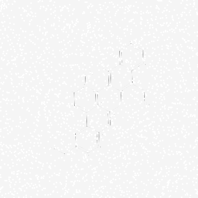 Cc1c2c(c(CC(C)(C)C)c3ccccc13)Sc1cc3ncc(CC(C)(C)C)cc3c3cc[n+](C)c-2c13